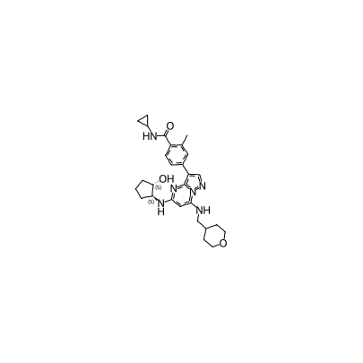 Cc1cc(-c2cnn3c(NCC4CCOCC4)cc(N[C@H]4CCC[C@@H]4O)nc23)ccc1C(=O)NC1CC1